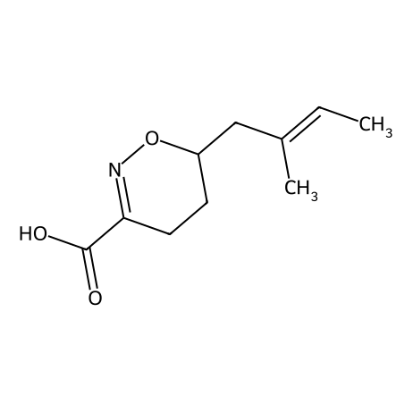 C/C=C(\C)CC1CCC(C(=O)O)=NO1